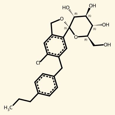 CCCc1ccc(Cc2cc3c(cc2Cl)CO[C@]32O[C@H](CO)[C@@H](O)[C@H](O)[C@H]2O)cc1